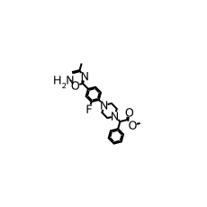 C=C(C)/N=C(\ON)c1ccc(N2CCN(C(C(=O)OC)c3ccccc3)CC2)c(F)c1